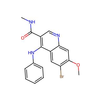 CNC(=O)c1cnc2cc(OC)c(Br)cc2c1Nc1ccccc1